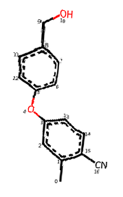 Cc1cc(Oc2ccc(CO)cc2)ccc1C#N